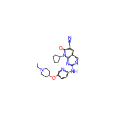 CCN1CCC(Oc2ccc(Nc3ncc4cc(C#N)c(=O)n(C5CCCC5)c4n3)nc2)CC1